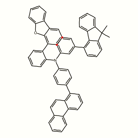 CC1(C)c2ccccc2-c2c(-c3cccc(N(c4ccc(-c5cccc6c5ccc5ccccc56)cc4)c4ccccc4-c4cccc5c4oc4ccccc45)c3)cccc21